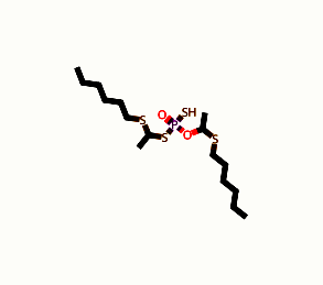 CCCCCCSC(C)OP(=O)(S)SC(C)SCCCCCC